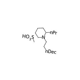 CCCCCCCCCCCCN1CCCCC1CCC.CS(=O)(=O)O